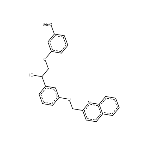 COc1cccc(OCC(O)c2cccc(OCc3ccc4ccccc4n3)c2)c1